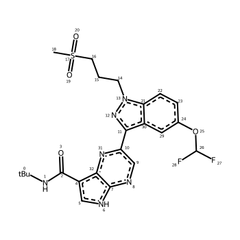 CC(C)(C)NC(=O)c1c[nH]c2ncc(-c3nn(CCCS(C)(=O)=O)c4ccc(OC(F)F)cc34)nc12